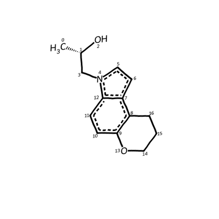 C[C@H](O)Cn1ccc2c3c(ccc21)OCCC3